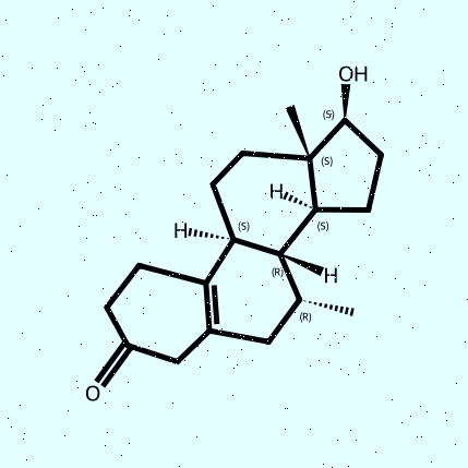 C[C@@H]1CC2=C(CCC(=O)C2)[C@H]2CC[C@]3(C)[C@@H](O)CC[C@H]3[C@H]12